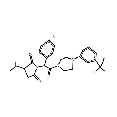 CNC1CC(=O)N(C(C(=O)N2CCN(c3cccc(C(F)(F)F)c3)CC2)c2ccccc2)C1=O.Cl